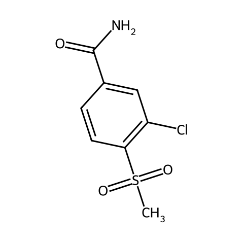 CS(=O)(=O)c1ccc(C(N)=O)cc1Cl